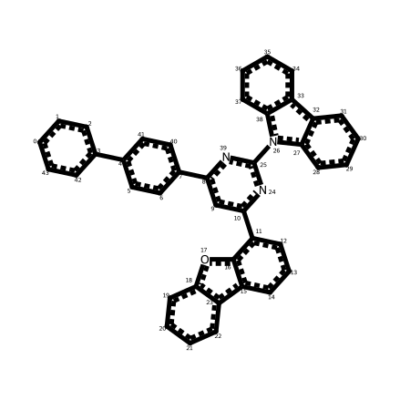 c1ccc(-c2ccc(-c3cc(-c4cccc5c4oc4ccccc45)nc(-n4c5ccccc5c5ccccc54)n3)cc2)cc1